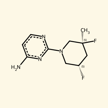 C[C@]1(F)C[C@H](F)CN(c2nccc(N)n2)C1